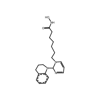 O=C(CCCCCCN1C=CC=NC1N1CCCc2ccccc21)NO